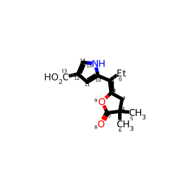 CCC(=C1CC(C)(C)C(=O)O1)c1cc(C(=O)O)c[nH]1